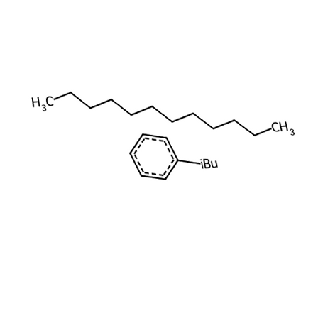 CCC(C)c1ccccc1.CCCCCCCCCCCC